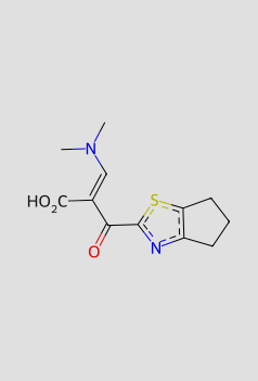 CN(C)C=C(C(=O)O)C(=O)c1nc2c(s1)CCC2